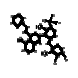 Cc1c(Oc2ncc(C(F)(F)F)c(C)c2-c2cc(OCc3ccccc3)c3c(O)nccc3n2)ccc(F)c1F